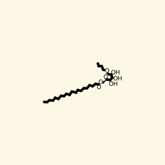 CCCCCCCCCCCCCCCCCCCC(=O)OC[C@H]1OC(OCCCC)[C@H](O)[C@@H](O)[C@@H]1O